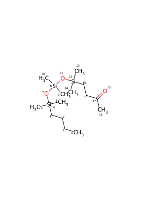 CCCC[Si](C)(C)O[Si](C)(C)O[Si](C)(C)CCC(C)=O